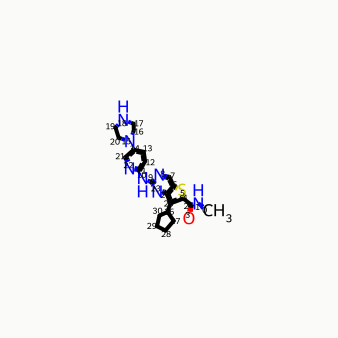 CNC(=O)c1sc2cnc(Nc3ccc(N4CCNCC4)cn3)nc2c1C1CCCC1